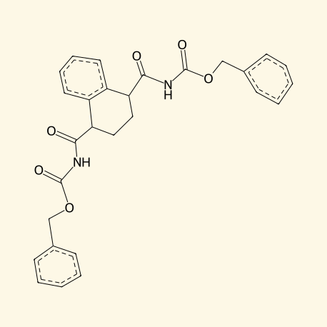 O=C(NC(=O)C1CCC(C(=O)NC(=O)OCc2ccccc2)c2ccccc21)OCc1ccccc1